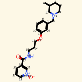 CC1CCCN(Cc2cccc(OCCCNC(=O)c3ccc[n+]([O-])c3)c2)C1